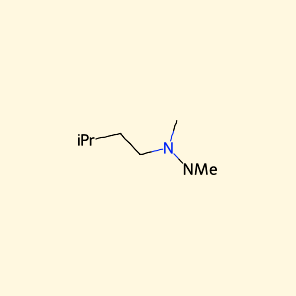 CNN(C)CCC(C)C